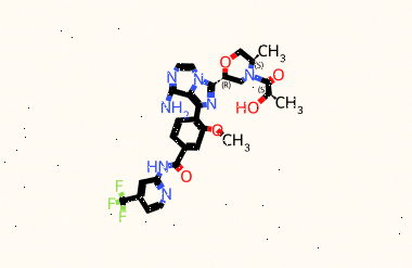 COc1cc(C(=O)Nc2cc(C(F)(F)F)ccn2)ccc1-c1nc([C@H]2CN(C(=O)[C@H](C)O)[C@@H](C)CO2)n2ccnc(N)c12